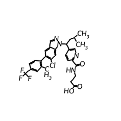 Cc1cc(C(F)(F)F)ccc1-c1cc2cnn(C(CC(C)C)c3ccc(C(=O)NCCC(=O)O)nc3)c2cc1Cl